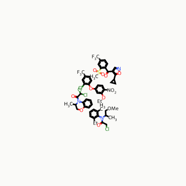 CC1COc2ccccc2N1C(=O)C(Cl)Cl.CCOc1cc(Oc2ccc(C(F)(F)F)cc2Cl)ccc1[N+](=O)[O-].CCc1cccc(C)c1N(C(=O)CCl)C(C)COC.CS(=O)(=O)c1cc(C(F)(F)F)ccc1C(=O)c1cnoc1C1CC1